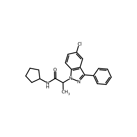 CC(C(=O)NC1CCCC1)n1nc(-c2ccccc2)c2cc(Cl)ccc21